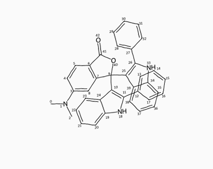 CN(C)c1ccc2c(c1)C(c1c(-c3ccccc3)[nH]c3ccccc13)(c1c(-c3ccccc3)[nH]c3ccccc13)OC2=O